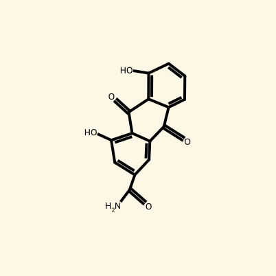 NC(=O)c1cc(O)c2c(c1)C(=O)c1cccc(O)c1C2=O